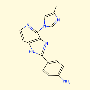 Cc1cn(-c2nccc3[nH]c(-c4ccc(N)cc4)nc23)cn1